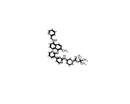 Cc1ccc2c(NCc3ccccn3)cccc2c1Oc1ncccc1-c1ccnc(NC2CCCN(C(=O)OC(C)(C)C)C2)n1